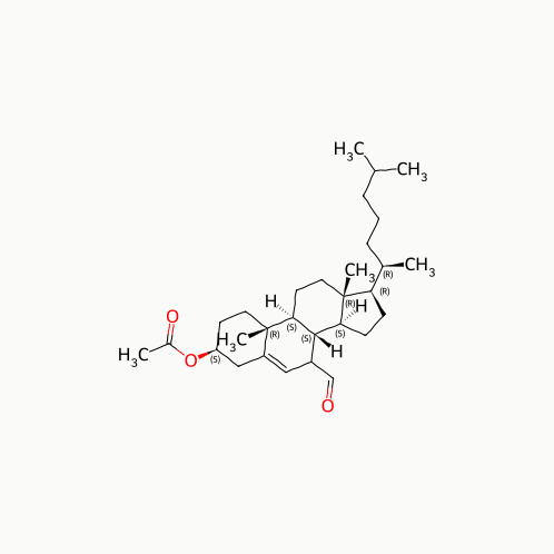 CC(=O)O[C@H]1CC[C@@]2(C)C(=CC(C=O)[C@H]3[C@@H]4CC[C@H]([C@H](C)CCCC(C)C)[C@@]4(C)CC[C@@H]32)C1